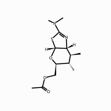 CC(=O)OC[C@H]1O[C@@H]2SC(N(C)C)=N[C@@H]2[C@@H](C)[C@@H]1C